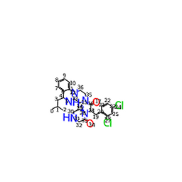 CC(C)C[C@H](N)c1ccccc1N1CCN(C(=O)C(Cc2ccc(Cl)cc2Cl)N2CCNCC2=O)CC1